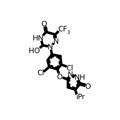 CC(C)c1cc(Oc2c(Cl)cc(N3N=C(C(F)(F)F)C(=O)NC3O)cc2Cl)n[nH]c1=O